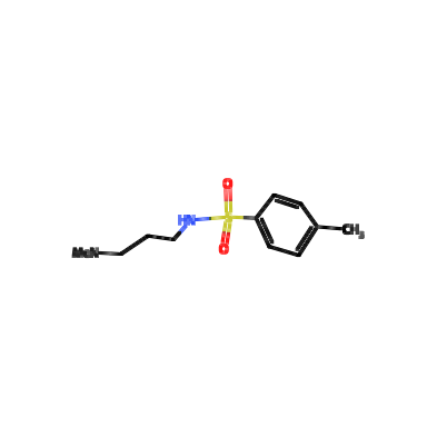 CNCCCNS(=O)(=O)c1ccc(C)cc1